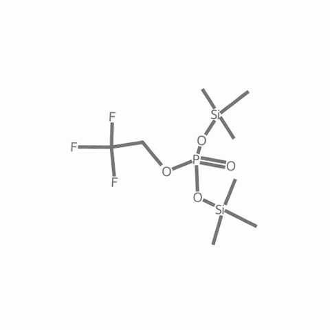 C[Si](C)(C)OP(=O)(OCC(F)(F)F)O[Si](C)(C)C